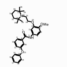 COc1ccc(NC(=O)c2cccc(Oc3ccccc3)c2)cc1OCCN1C(C)(C)CCCC1(C)C